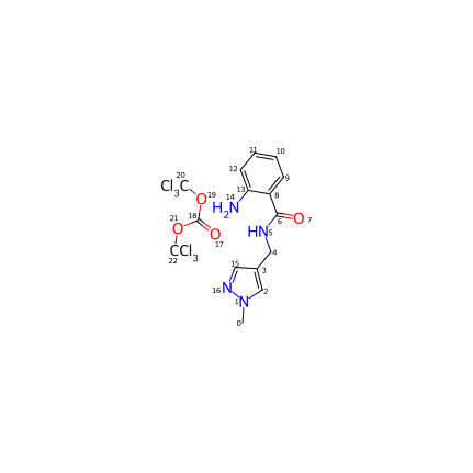 Cn1cc(CNC(=O)c2ccccc2N)cn1.O=C(OC(Cl)(Cl)Cl)OC(Cl)(Cl)Cl